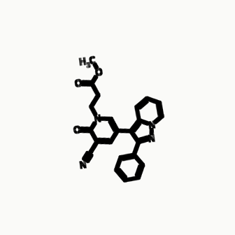 COC(=O)CCn1cc(-c2c(-c3ccccc3)nn3ccccc23)cc(C#N)c1=O